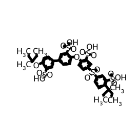 CCC(C)(CC)Oc1ccc(-c2ccc(Oc3ccc(S(=O)(=O)c4ccc(C(C)(CC)CC)c(S(=O)(=O)O)c4)cc3S(=O)(=O)O)c(S(=O)(=O)O)c2)cc1S(=O)(=O)O